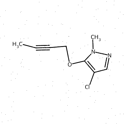 CC#CCOc1c(Cl)[c]nn1C